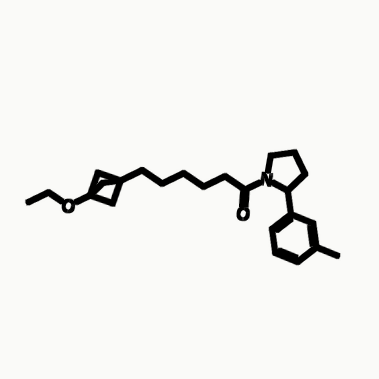 CCOC12CC(CCCCCC(=O)N3CCCC3c3cccc(C)c3)(C1)C2